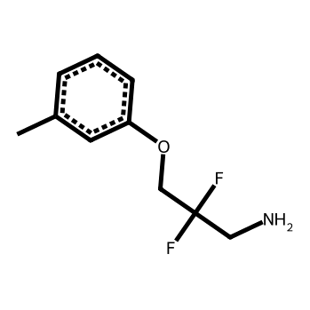 Cc1cccc(OCC(F)(F)CN)c1